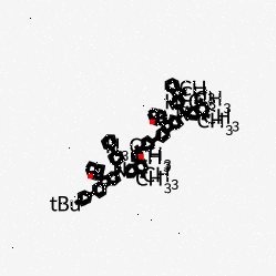 CC(C)(C)c1ccc(-c2ccc3c(c2)C2(c4cc(N(c5ccc(-c6ccccc6)cc5)c5ccc6c(c5)C(C)(CCC(C)(C)c5ccc(-c7ccc8c(c7)C7(c9cc(N(c%10ccc%11c(c%10)C(C)(C)CCC%11(C)C)c%10ccc%11c(c%10)C(C)(C)c%10ccccc%10-%11)ccc9-8)C8CC9CC%10CC7C%108C9)cc5)CCC6(C)C)ccc4-3)C3CC4CC5CC2C53C4)cc1